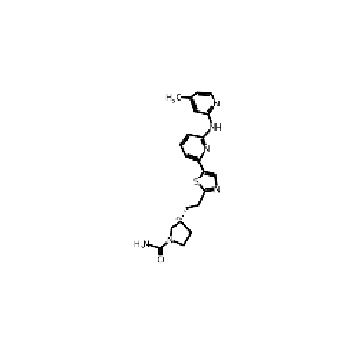 Cc1ccnc(Nc2cccc(-c3cnc(CC[C@@H]4CCN(C(N)=O)C4)s3)n2)c1